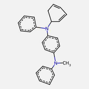 CN(c1ccccc1)c1ccc(N(c2ccccc2)C2C=CC=CC2)cc1